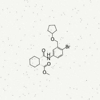 COC(=O)[C@@H]1CCCC[C@@H]1C(=O)Nc1ccc(Br)c(COC2CCCC2)c1